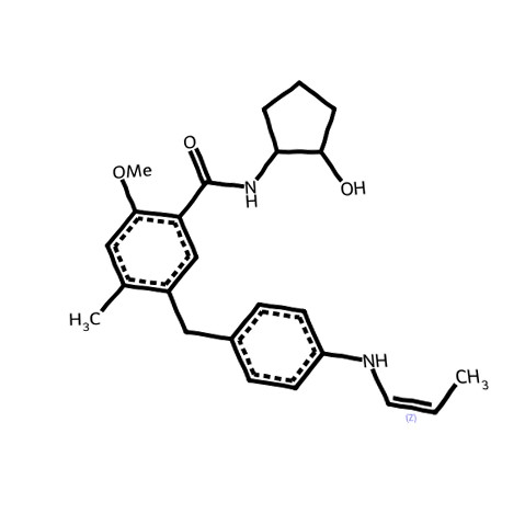 C/C=C\Nc1ccc(Cc2cc(C(=O)NC3CCCC3O)c(OC)cc2C)cc1